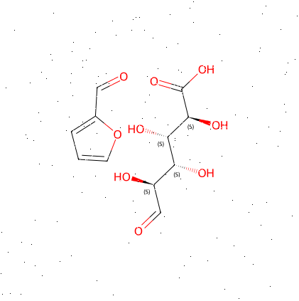 O=C[C@@H](O)[C@@H](O)[C@H](O)[C@H](O)C(=O)O.O=Cc1ccco1